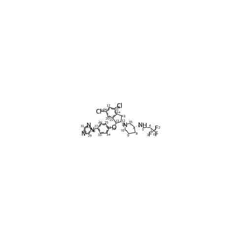 FC(F)(F)CCN[C@@H]1CCCN([C@H]2Cc3c(Cl)cc(Cl)cc3[C@@H]2Oc2ccc(-n3cncn3)cc2)C1